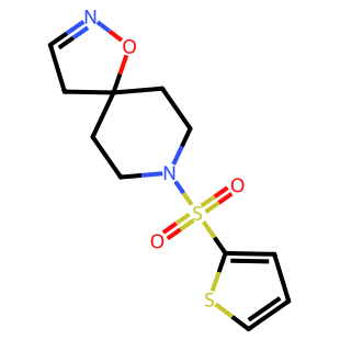 O=S(=O)(c1cccs1)N1CCC2(CC=NO2)CC1